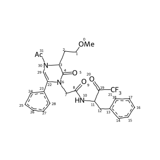 COCCC1C(=O)N(CC(=O)NC(Cc2ccccc2)C(=O)C(F)(F)F)C(c2ccccc2)=CN1C(C)=O